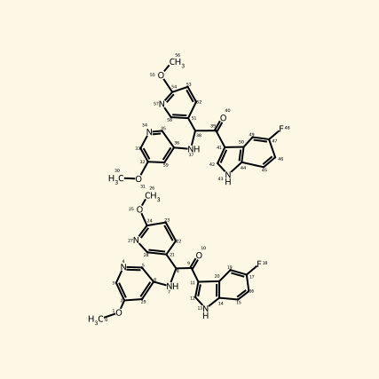 COc1cncc(NC(C(=O)c2c[nH]c3ccc(F)cc23)c2ccc(OC)nc2)c1.COc1cncc(NC(C(=O)c2c[nH]c3ccc(F)cc23)c2ccc(OC)nc2)c1